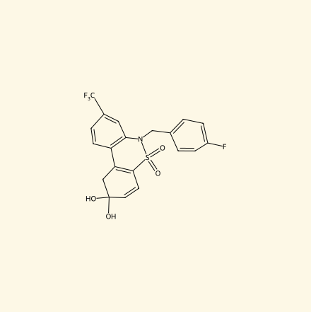 O=S1(=O)C2=C(CC(O)(O)C=C2)c2ccc(C(F)(F)F)cc2N1Cc1ccc(F)cc1